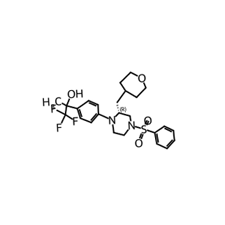 CC(O)(c1ccc(N2CCN(S(=O)(=O)c3ccccc3)C[C@H]2CC2CCOCC2)cc1)C(F)(F)F